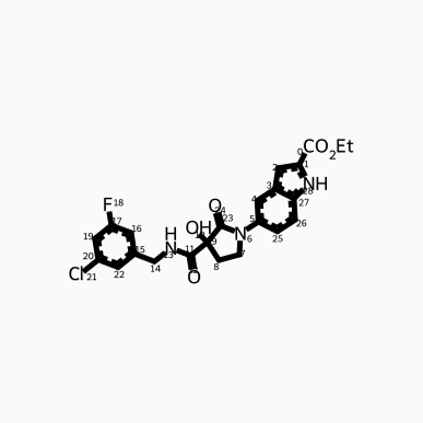 CCOC(=O)c1cc2cc(N3CCC(O)(C(=O)NCc4cc(F)cc(Cl)c4)C3=O)ccc2[nH]1